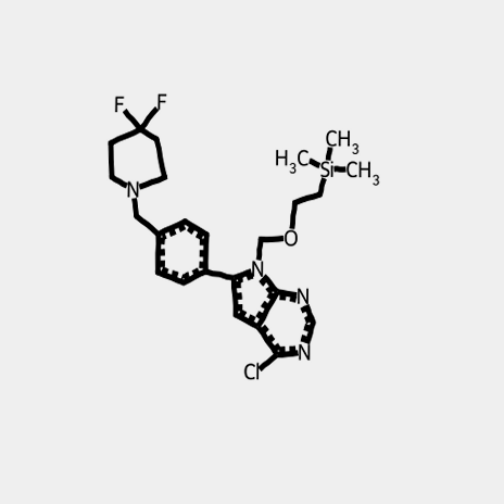 C[Si](C)(C)CCOCn1c(-c2ccc(CN3CCC(F)(F)CC3)cc2)cc2c(Cl)ncnc21